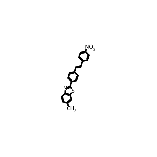 Cc1ccc2nc(-c3ccc(C=Cc4ccc([N+](=O)[O-])cc4)cc3)sc2c1